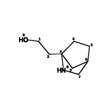 OCCC12CCC(CN1)C2